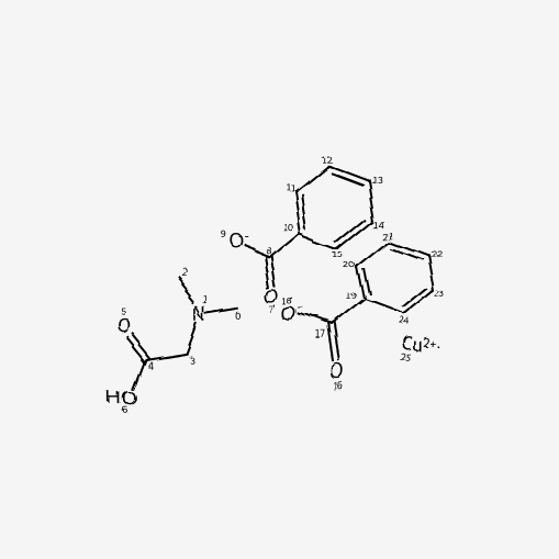 CN(C)CC(=O)O.O=C([O-])c1ccccc1.O=C([O-])c1ccccc1.[Cu+2]